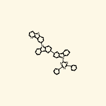 c1ccc(-c2nc(-c3ccccc3)nc(-n3c4ccccc4c4cc(-c5ccc6c(c5)c5ccccc5n6-c5ccc6sc7cccnc7c6c5)ccc43)n2)cc1